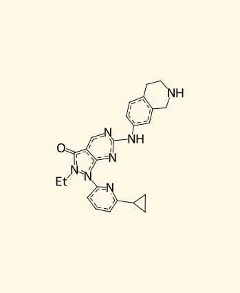 CCn1c(=O)c2cnc(Nc3ccc4c(c3)CNCC4)nc2n1-c1cccc(C2CC2)n1